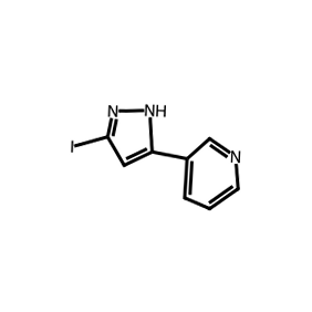 Ic1cc(-c2cccnc2)[nH]n1